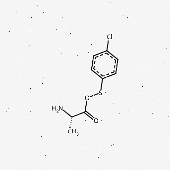 C[C@H](N)C(=O)OSc1ccc(Cl)cc1